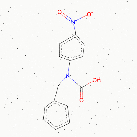 O=C(O)N(Cc1ccccc1)c1ccc([N+](=O)[O-])cc1